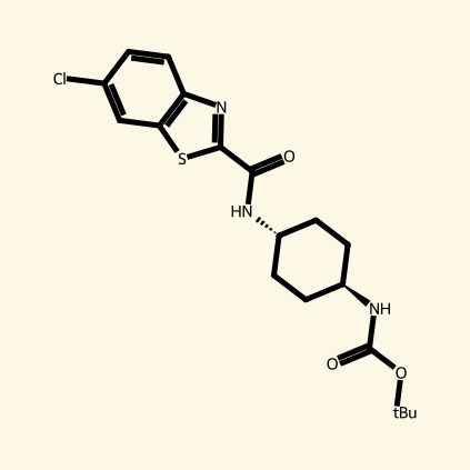 CC(C)(C)OC(=O)N[C@H]1CC[C@H](NC(=O)c2nc3ccc(Cl)cc3s2)CC1